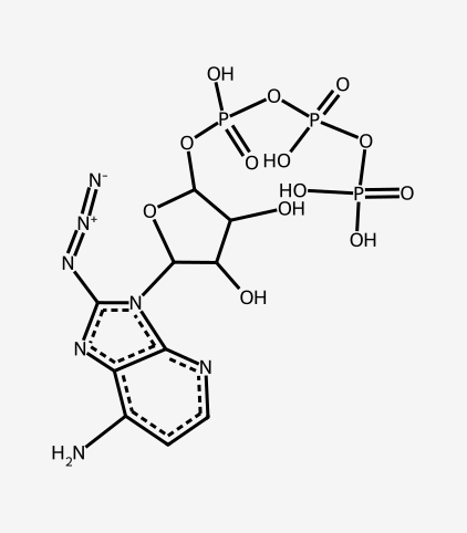 [N-]=[N+]=Nc1nc2c(N)ccnc2n1C1OC(OP(=O)(O)OP(=O)(O)OP(=O)(O)O)C(O)C1O